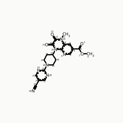 COC(=O)c1cnc2c(c1)n(C)c(=O)c(=O)n2C1CCN(c2ncc(C#N)cn2)CC1